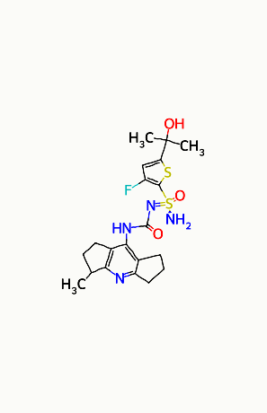 CC1CCc2c1nc1c(c2NC(=O)N=[S@@](N)(=O)c2sc(C(C)(C)O)cc2F)CCC1